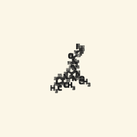 COc1nc2c(c(N3CCN(C(=O)/C=C/C(F)(F)F)CC3)n1)CCN(c1cccc(C)c1C)C2